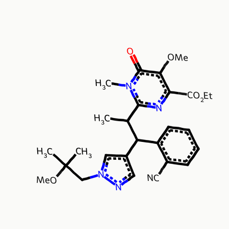 CCOC(=O)c1nc(C(C)C(c2cnn(CC(C)(C)OC)c2)c2ccccc2C#N)n(C)c(=O)c1OC